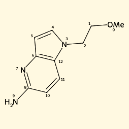 COCCn1ccc2nc(N)ccc21